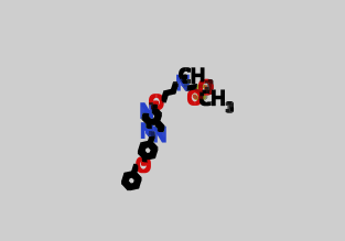 CN(CCCCOc1cc2cnc(-c3ccc(OCc4ccccc4)cc3)nc2cn1)CCS(C)(=O)=O